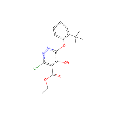 CCOC(=O)c1c(Cl)nnc(Oc2ccccc2C(C)(C)C)c1O